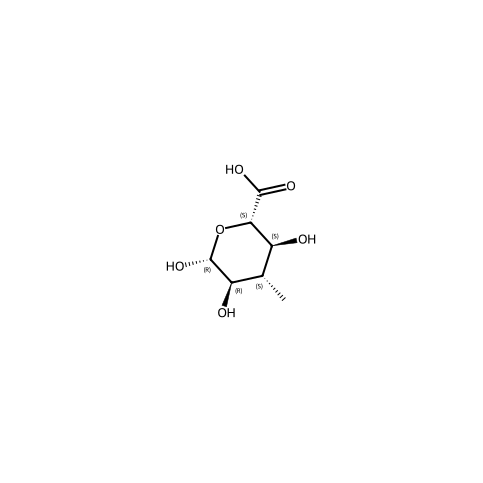 C[C@@H]1[C@@H](O)[C@H](O)O[C@H](C(=O)O)[C@H]1O